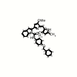 COC1=CC(c2cc3ccccc3n2C(=O)Nc2ccc(OCc3ccccc3)cc2)=NC1=Cc1[nH]c(C)cc1C